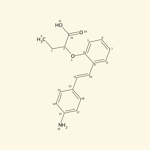 CCC(Oc1ccccc1C=Cc1ccc(N)cc1)C(=O)O